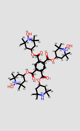 CC1(C)CC(OC(=O)c2cc(C(=O)OC3CC(C)(C)N(O)C(C)(C)C3)c(C(=O)OC3CC(C)(C)N(O)C(C)(C)C3)cc2C(=O)OC2CC(C)(C)N(O)C(C)(C)C2)CC(C)(C)N1